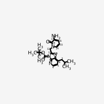 CC(C)Cc1ccnc2c1nc(Cn1cccc(N)c1=O)n2C(=O)OC(C)(C)C